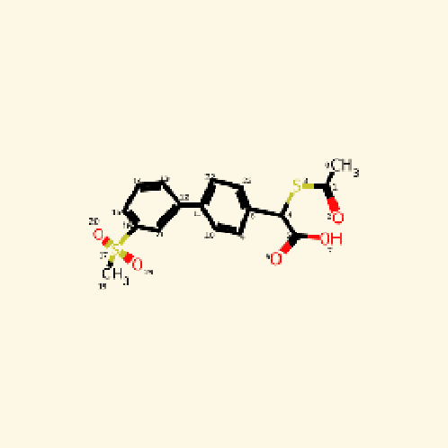 CC(=O)SC(C(=O)O)c1ccc(-c2cccc(S(C)(=O)=O)c2)cc1